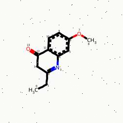 CCC1=Nc2cc(OC)ccc2C(=O)C1